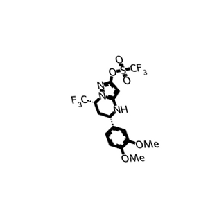 COc1ccc([C@@H]2C[C@H](C(F)(F)F)n3nc(OS(=O)(=O)C(F)(F)F)cc3N2)cc1OC